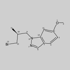 COc1ccc2cnn(C[C@H](C)CBr)c2c1